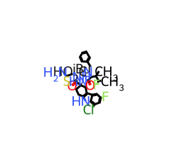 CC[C@H](C)[C@H](NC(=O)[C@@]1(NC(=O)C(C(C)C(C)F)N(Cc2ccccc2)C(=O)O)CCc2[nH]c3c(Cl)cc(F)cc3c2C1)C(N)=S